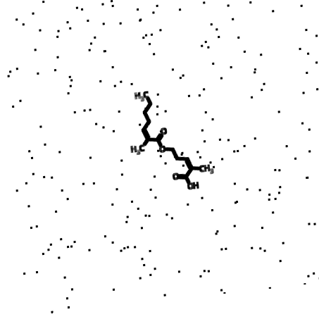 CCCCC=C(C)C(=O)OCCC=C(C)C(=O)O